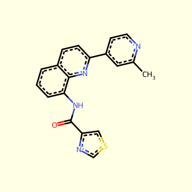 Cc1cc(-c2ccc3cccc(NC(=O)c4cscn4)c3n2)ccn1